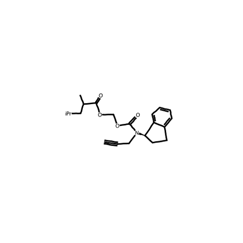 C#CCN(C(=O)OCOC(=O)C(C)CC(C)C)[C@@H]1CCc2ccccc21